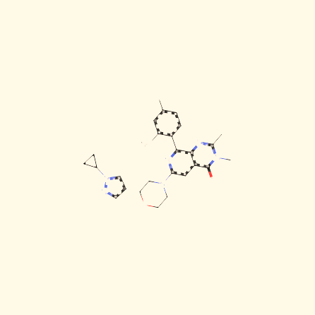 Cc1nc2c(-c3ccc(C(F)(F)F)cc3C#N)nc(N3C[C@@H](c4cnn(C5CC5)c4)O[C@@H](C)C3)cc2c(=O)n1C